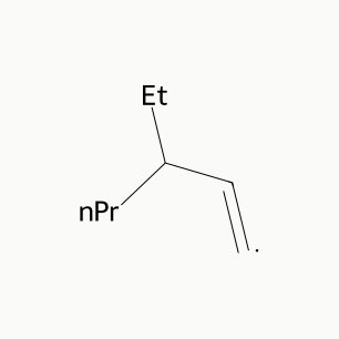 [CH]=CC(CC)CC[CH2]